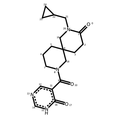 O=C1CCC2(CCCN(C(=O)c3cnc[nH]c3=O)C2)CN1CC1CC1